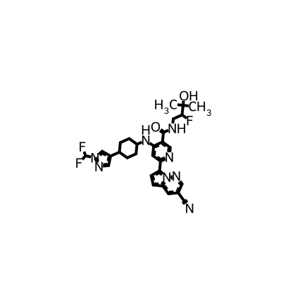 CC(C)(O)C(F)CNC(=O)c1cnc(-c2ccc3cc(C#N)cnn23)cc1NC1CCC(c2cnn(C(F)F)c2)CC1